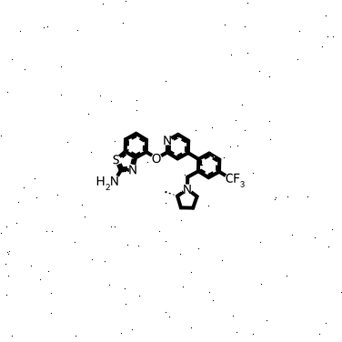 C[C@H]1CCCN1Cc1cc(C(F)(F)F)ccc1-c1ccnc(Oc2cccc3sc(N)nc23)c1